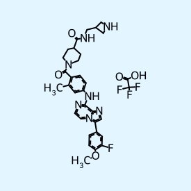 COc1ccc(-c2cnc3c(Nc4ccc(C(=O)N5CCC(C(=O)NCC6CNC6)CC5)c(C)c4)nccn23)cc1F.O=C(O)C(F)(F)F